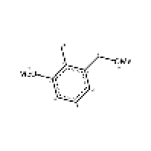 [CH2]OCc1cccc(OC)c1C